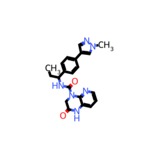 CCC(NC(=O)N1CC(=O)Nc2cccnc21)c1ccc(-c2cnn(C)c2)cc1